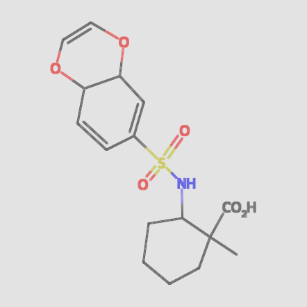 CC1(C(=O)O)CCCCC1NS(=O)(=O)C1=CC2OC=COC2C=C1